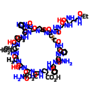 CCC(=O)NCCCC[C@H](NC(=O)CNC(=O)CNC(=O)[C@@H]1CSCC(=O)N[C@@H](Cc2ccccc2)C(=O)N[C@@H](CC(N)=O)C(=O)N[C@@H](Cc2ccccc2)C(=O)N[C@@H](CCC(=O)O)CN[C@@H](CC(=O)O)C(=O)N[C@@H](CCC(N)=O)C(=O)N[C@@H](CO)C(=O)N[C@@H](C)C(=O)N[C@](C=O)(CC(=O)O)CN[C@@H]([C@@H](C)O)C(=O)N[C@@H](Cc2c[nH]c3ccccc23)C(=O)N[C@@H](CCC(N)=O)C(=O)N2CCC[C@H]2C(=O)N1)C(N)O